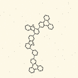 c1cc(-c2ccc3c4ccccc4c4ccccc4c3c2)cc(-c2cccc3c2sc2cc(-c4ccc(-c5ccc6c7ccccc7c7ccccc7c6c5)c5sc6ccccc6c45)ccc23)c1